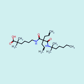 C=CCC(CC=C)(C(=O)NCCCCC(C)(C)C(=O)O)C(=O)NC(C)(C)CCCCC